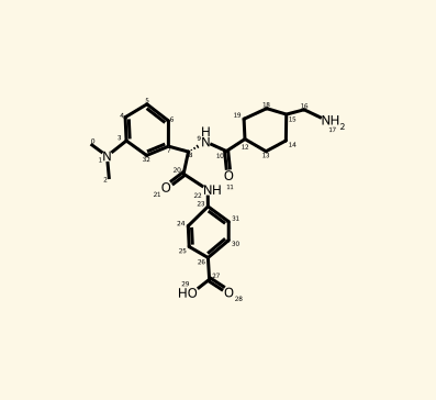 CN(C)c1cccc([C@H](NC(=O)C2CCC(CN)CC2)C(=O)Nc2ccc(C(=O)O)cc2)c1